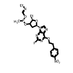 CC/N=C/OP(C)OC1C[C@H](n2cnc3c(OCCc4ccc([N+](=O)[O-])cc4)nc(F)nc32)O[C@@H]1CC